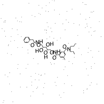 CCCN(CCC)C(=O)c1cc(C)cc(C(=O)NOC[C@H](O)[C@H](O)C(O)CONC(=O)Cc2ccccc2)c1